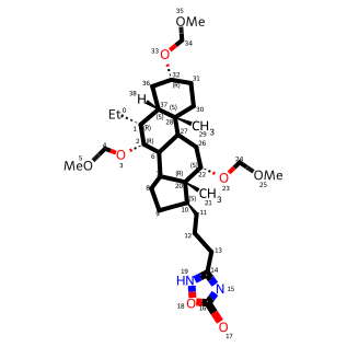 CC[C@H]1[C@@H](OCOC)C2C3CC[C@H](CCCc4nc(=O)o[nH]4)[C@@]3(C)[C@@H](OCOC)CC2[C@@]2(C)CC[C@@H](OCOC)C[C@@H]12